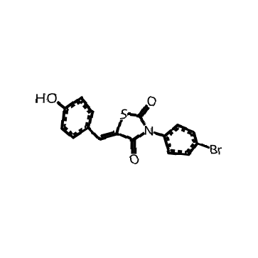 O=C1S/C(=C\c2ccc(O)cc2)C(=O)N1c1ccc(Br)cc1